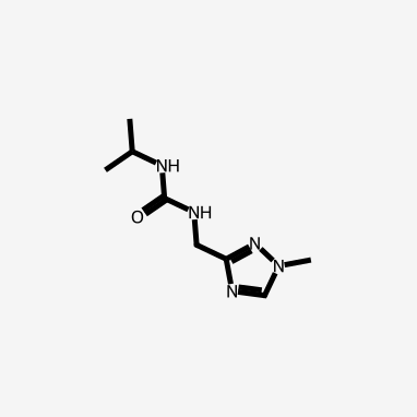 CC(C)NC(=O)NCc1ncn(C)n1